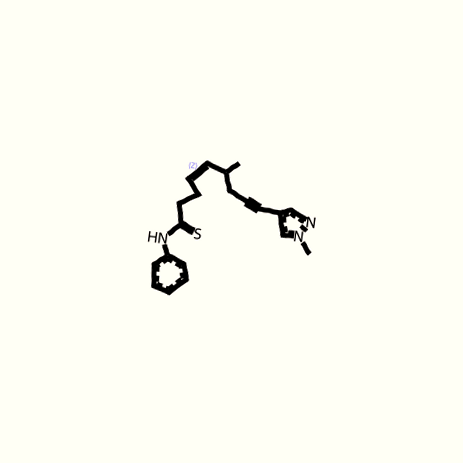 CC(/C=C\CCC(=S)Nc1ccccc1)CC#Cc1cnn(C)c1